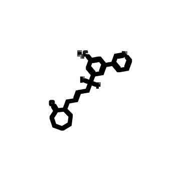 O=C1CCCCCC1C/C=C/CC(F)(F)c1cc(-c2cccnc2)cc(C(F)(F)F)c1